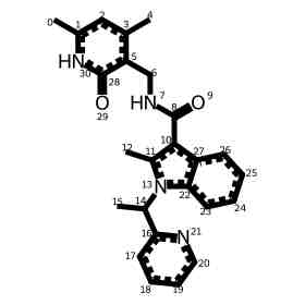 Cc1cc(C)c(CNC(=O)c2c(C)n(C(C)c3ccccn3)c3ccccc23)c(=O)[nH]1